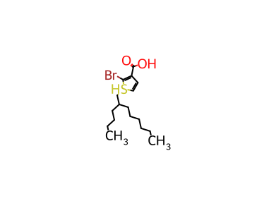 CCCCCCC(CCCC)C[SH]1C=CC(C(=O)O)=C1Br